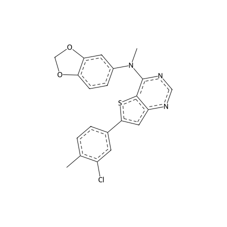 Cc1ccc(-c2cc3ncnc(N(C)c4ccc5c(c4)OCO5)c3s2)cc1Cl